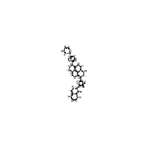 c1ccc(-c2cnc(-c3ccc4ccc5c(-c6nnc(-c7ccc8ccccc8c7)o6)ccc6ccc3c4c65)o2)cc1